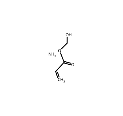 C=CC(=O)OCO.N